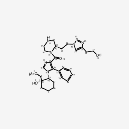 COC[C@]1(O)CCCC[C@H]1n1cnc(C(=O)N2CCNC[C@H]2CCn2cc(CCO)nn2)c1-c1ccccc1